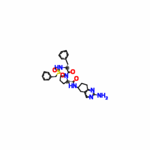 Nc1ncc2c(n1)CCC(NC(=O)[C@@H]1CCCN1C(=O)[C@@H](Cc1ccccc1)NS(=O)(=O)Cc1ccccc1)C2